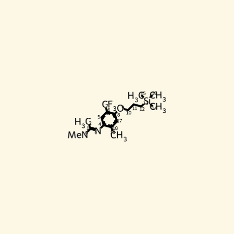 CNC(C)=Nc1cc(C(F)(F)F)c(OCCC[Si](C)(C)C)cc1C